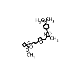 CCOC(=O)C1(SCC=Cc2ccc(Cc3nc(-c4ccc(N(C)C)cc4)oc3C)o2)CCC1